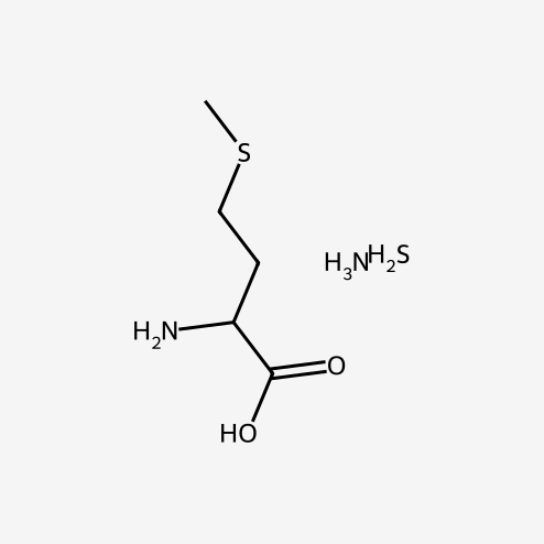 CSCCC(N)C(=O)O.N.S